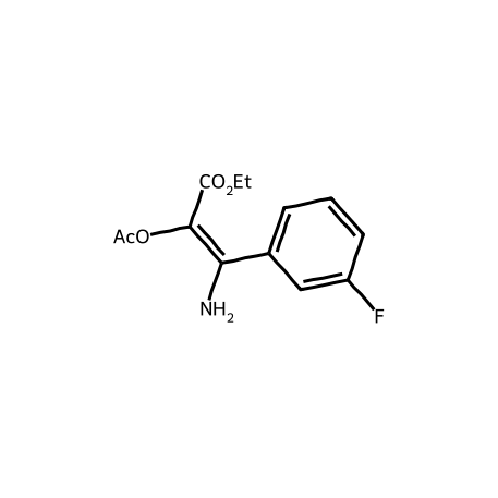 CCOC(=O)/C(OC(C)=O)=C(/N)c1cccc(F)c1